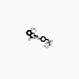 COS(=O)(=O)CC1CCC(SCc2nc3c(C)cccc3c(=O)[nH]2)CC1